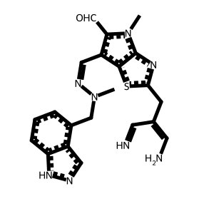 CN(Cc1cccc2[nH]ncc12)/N=C\c1c(C=O)n(C)c2nc(C/C(C=N)=C/N)sc12